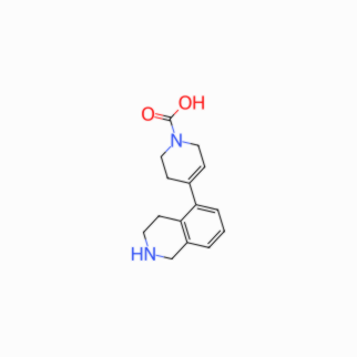 O=C(O)N1CC=C(c2cccc3c2CCNC3)CC1